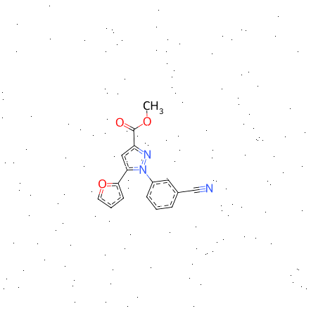 COC(=O)c1cc(-c2ccco2)n(-c2cccc(C#N)c2)n1